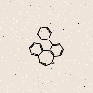 C1=CN(c2cccc3c2-c2ccccc2C=CN3)CCC1